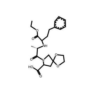 CCOC(=O)C(CCc1ccccc1)N[C@@H](C)C(=O)N1CC2(CC1C(=O)O)OCCO2